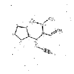 C=CN([C@H](CC#N)C1CCCC1)N(C)C